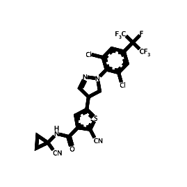 N#Cc1sc(C2C=NN(c3c(Cl)cc(C(F)(C(F)(F)F)C(F)(F)F)cc3Cl)C2)cc1C(=O)NC1(C#N)CC1